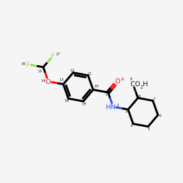 O=C(NC1CCCCC1C(=O)O)c1ccc(OC(F)F)cc1